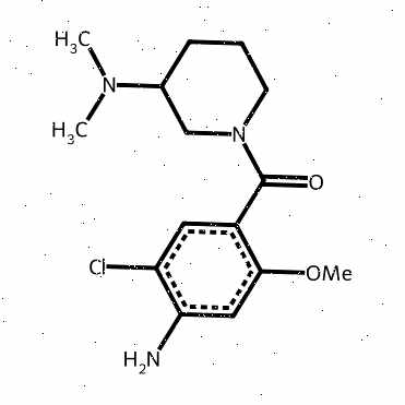 COc1cc(N)c(Cl)cc1C(=O)N1CCCC(N(C)C)C1